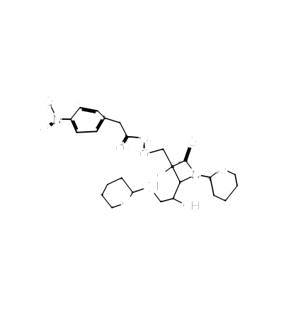 CC(COC1CCCCO1)C1N(C2CCCCO2)C(=O)C1(C)COOC(=O)Cc1ccc([N+](=O)[O-])cc1